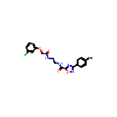 Cc1ccc(-c2noc(C(=O)NCCNC(=O)COc3cccc(Cl)c3)n2)cc1